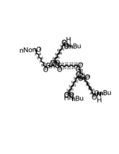 CCCCCCCCCC(=O)CCCCCCCC(=O)OCC(COC(=O)CCCCCCCC(=O)OCC(COC(=O)CCCCCCCC(=O)ONCCCC)OC(=O)CCCCCCCC(=O)ONCCCC)OC(=O)CCCCCCCC(=O)ONCCCC